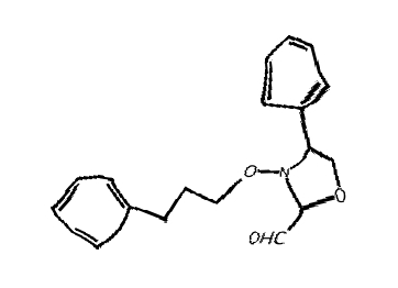 O=CC1OCC(c2ccccc2)N1OCCCc1ccccc1